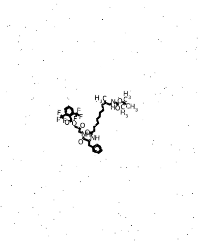 CC(CCCCCCCCC(=O)NC(Cc1ccccc1)C(=O)NCC(=O)COC(=O)c1c(C(F)(F)F)cccc1C(F)(F)F)CNC(=O)OC(C)(C)C